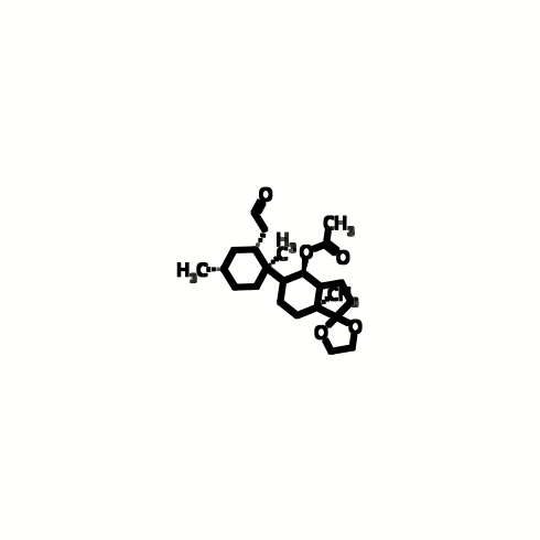 CC(=O)O[C@H]1C2CCC3(OCCO3)[C@@]2(C)CCC1[C@@]1(C)CC[C@H](C)C[C@@H]1CC=O